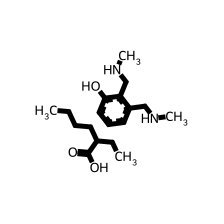 CCCCC(CC)C(=O)O.CNCc1cccc(O)c1CNC